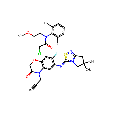 C#CCN1C(=O)COc2cc(F)c(/N=c3\snc4n3CC(C)(C)C4)cc21.CCCOCCN(C(=O)CCl)c1c(CC)cccc1CC